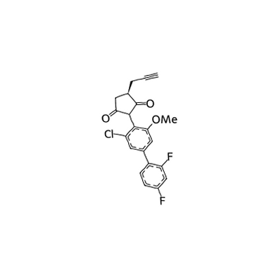 C#CC[C@@H]1CC(=O)C(c2c(Cl)cc(-c3ccc(F)cc3F)cc2OC)C1=O